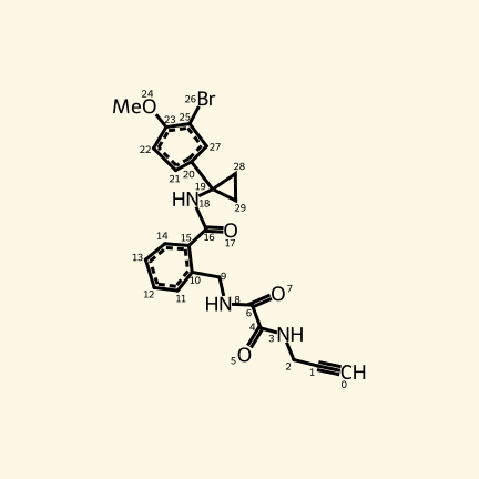 C#CCNC(=O)C(=O)NCc1ccccc1C(=O)NC1(c2ccc(OC)c(Br)c2)CC1